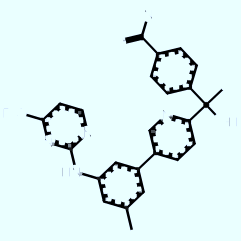 Cc1cc(Nc2nccc(C(F)(F)F)n2)cc(-c2ccc(C(C)(O)c3ccc(C(N)=O)cc3)nc2)c1